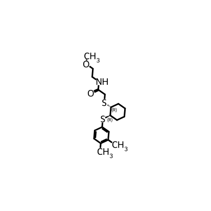 COCCNC(=O)CS[C@@H]1CCCC[C@H]1Sc1ccc(C)c(C)c1